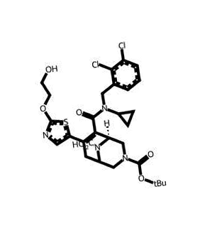 CC(C)(C)OC(=O)N1CC2CC(c3cnc(OCCO)s3)=C(C(=O)N(Cc3cccc(Cl)c3Cl)C3CC3)[C@@H](C1)N2C(=O)O